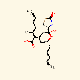 C=CCCC[C@@H]1C[C@@H](C(C(=O)O)=C(C)CCC=C)C[C@](O)([C@@H]2CSC(=O)N2)O1